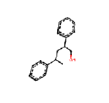 CC(CC(CO)c1ccccc1)c1ccccc1